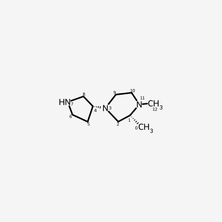 C[C@@H]1CN([C@@H]2CCNC2)CCN1C